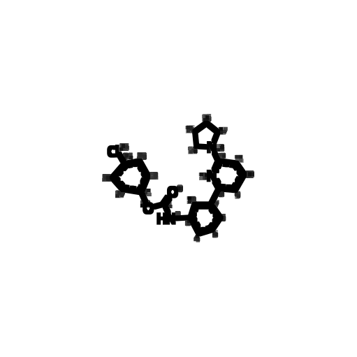 O=C(Nc1cccc(-c2cccc(N3CCCC3)n2)c1)Oc1ccc(Cl)cc1